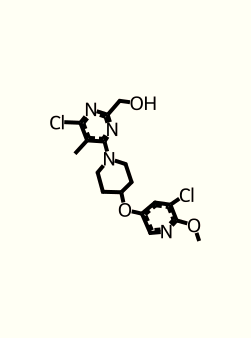 COc1ncc(OC2CCN(c3nc(CO)nc(Cl)c3C)CC2)cc1Cl